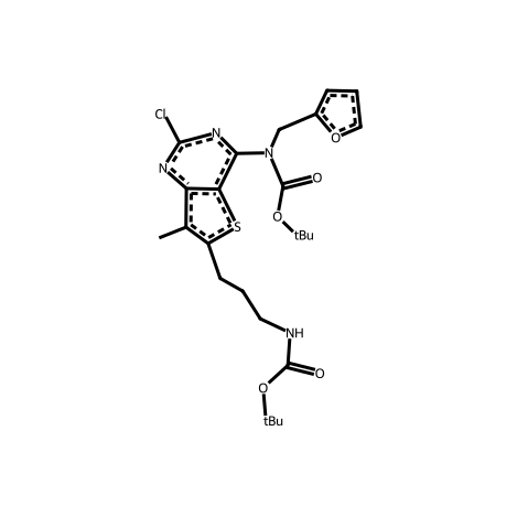 Cc1c(CCCNC(=O)OC(C)(C)C)sc2c(N(Cc3ccco3)C(=O)OC(C)(C)C)nc(Cl)nc12